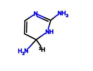 [2H]C1(N)C=CN=C(N)N1